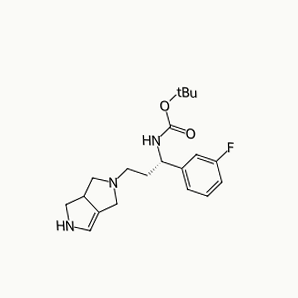 CC(C)(C)OC(=O)N[C@@H](CCN1CC2=CNCC2C1)c1cccc(F)c1